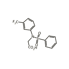 O=C(O)CN(c1cccc(C(F)(F)F)c1)S(=O)(=O)c1ccccc1